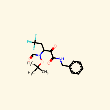 CC(C)(C)ON(C=O)C(CC(F)(F)F)C(=O)C(=O)NCc1ccccc1